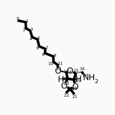 CCCCCCCCCCCCO[C@H]1O[C@H](CN)[C@@H]2OC(C)(C)O[C@H]12